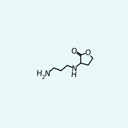 NCCCNC1CCOC1=O